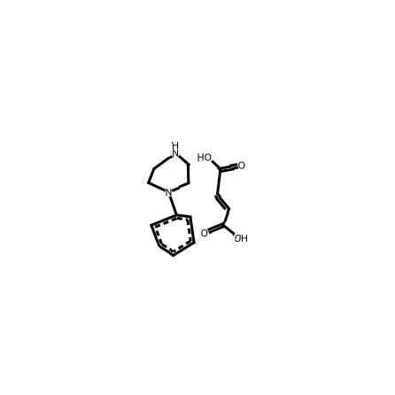 O=C(O)C=CC(=O)O.c1ccc(N2CCNCC2)cc1